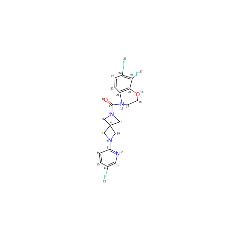 O=C(N1CC2(C1)CN(c1ccc(F)cn1)C2)N1CCOc2c1ccc(F)c2F